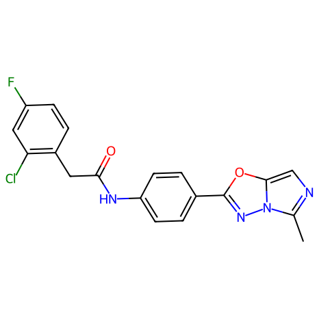 Cc1ncc2oc(-c3ccc(NC(=O)Cc4ccc(F)cc4Cl)cc3)nn12